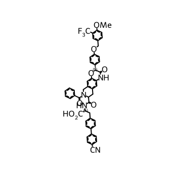 COc1ccc(COc2ccc([C@@H]3Oc4cc5c(cc4NC3=O)CC(C(=O)N[C@@H](Cc3ccc(-c4ccc(C#N)cc4)cc3)C(=O)O)N(C(=O)c3ccccc3)C5)cc2)cc1C(F)(F)F